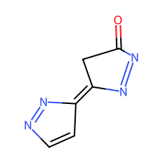 O=C1CC(=C2C=CN=N2)N=N1